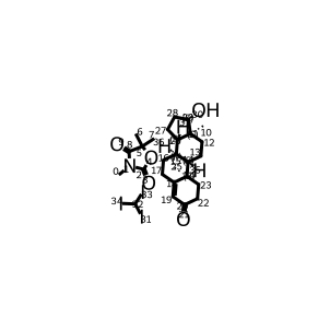 CN1C(=O)OC(C)(C)C1=O.C[C@]12CC[C@H]3[C@@H](CCC4=CC(=O)CC[C@@]43C)[C@@H]1CC[C@@H]2O.IC(I)I